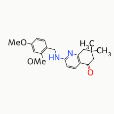 COc1ccc(CNc2ccc3c(n2)CC(C)(C)CC3=O)c(OC)c1